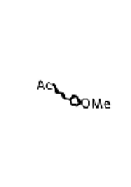 COc1ccc(C=CC=CC(C)=O)cc1